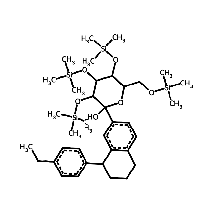 CCc1ccc(C2CCCc3ccc(C4(O)OC(CO[Si](C)(C)C)C(O[Si](C)(C)C)C(O[Si](C)(C)C)C4O[Si](C)(C)C)cc32)cc1